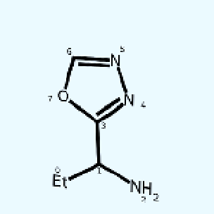 CCC(N)c1nnco1